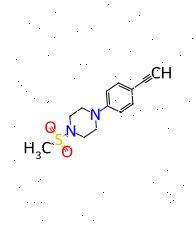 C#Cc1ccc(N2CCN(S(C)(=O)=O)CC2)cc1